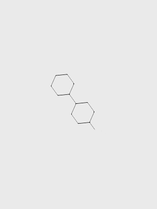 CCCCC1CCC(C2CC[CH]CC2)CC1